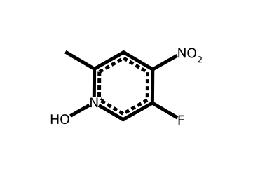 Cc1cc([N+](=O)[O-])c(F)c[n+]1O